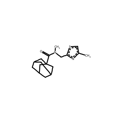 Cc1csc(CN(C)C(=O)C23CC4CC(CC(C4)C2)C3)n1